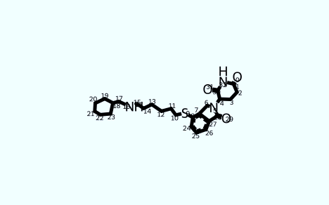 O=C1CCC(N2Cc3c(SCCCCCCNCC4CCCCC4)cccc3C2=O)C(=O)N1